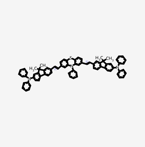 CC1(C)c2cc(/C=C/c3ccc4c(c3)N(c3ccccc3)c3cc(/C=C/c5ccc6c(c5)C(C)(C)c5cc(N(c7ccccc7)c7ccccc7)ccc5-6)ccc3S4)ccc2-c2ccc(N(c3ccccc3)c3ccccc3)cc21